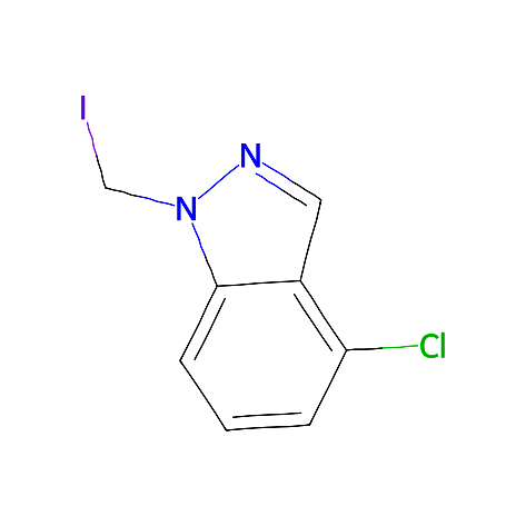 Clc1cccc2c1cnn2CI